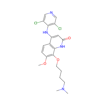 COc1ccc2c(Nc3c(Cl)cncc3Cl)cc(=O)[nH]c2c1OCCCCN(C)C